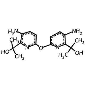 CC(C)(O)c1nc(Oc2ccc(N)c(C(C)(C)O)n2)ccc1N